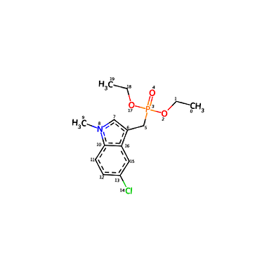 CCOP(=O)(Cc1cn(C)c2ccc(Cl)cc12)OCC